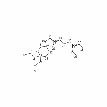 CCCC1(CCC)CCC2(CCN(CCCN(CC)CC)C2)CC1